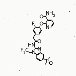 CP(C)(=O)c1ccc2c(c1)nc(NC(=O)Cc1ccc(Oc3ncccc3C(N)=O)c(F)c1)n2CC(F)(F)F